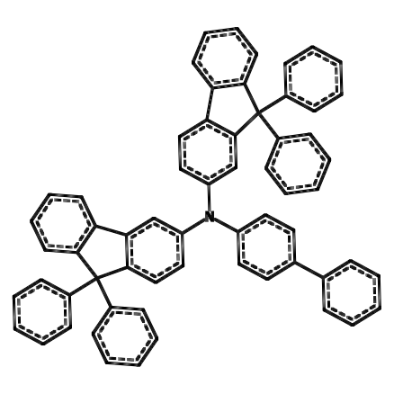 c1ccc(-c2ccc(N(c3ccc4c(c3)-c3ccccc3C4(c3ccccc3)c3ccccc3)c3ccc4c(c3)C(c3ccccc3)(c3ccccc3)c3ccccc3-4)cc2)cc1